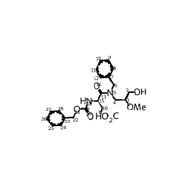 COC(CO)CN(Cc1ccccc1)C(=O)[C@@H](CC(=O)O)NC(=O)OCc1ccccc1